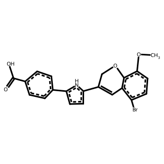 COc1ccc(Br)c2c1OCC(c1ccc(-c3ccc(C(=O)O)cc3)[nH]1)=C2